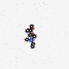 c1ccc(-c2nc(-c3ccc4ccccc4c3)nc(-c3cccc4oc5c(-c6cc7oc8ccccc8c7c7ccccc67)cccc5c34)n2)cc1